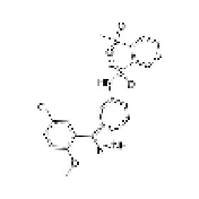 COc1ccc(Cl)cc1-c1n[nH]c2ccc(NS(=O)(=O)c3ccccc3S(C)(=O)=O)cc12